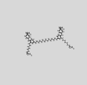 CCCCCCCCc1cc(CCCCCCCCCCCCCCCc2ccc(Cc3ccc(N)cc3)c(CCCCCCCC)c2)ccc1Cc1ccc(N)cc1